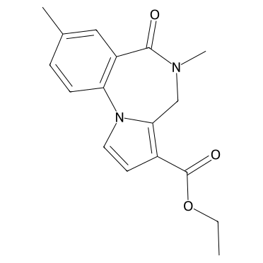 CCOC(=O)c1ccn2c1CN(C)C(=O)c1cc(C)ccc1-2